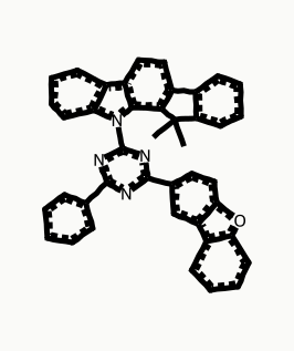 CC1(C)c2ccccc2-c2ccc3c4ccccc4n(-c4nc(-c5ccccc5)nc(-c5ccc6oc7ccccc7c6c5)n4)c3c21